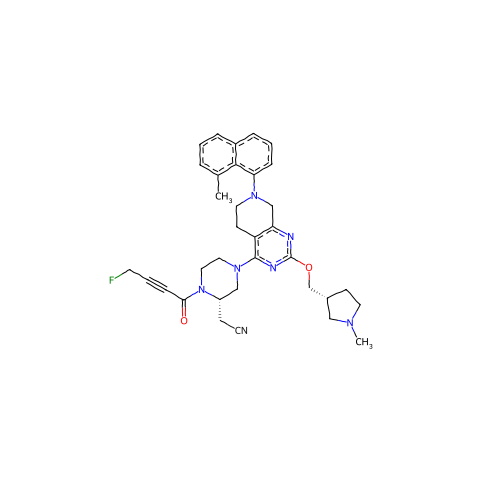 Cc1cccc2cccc(N3CCc4c(nc(OC[C@@H]5CCN(C)C5)nc4N4CCN(C(=O)C#CCF)[C@@H](CC#N)C4)C3)c12